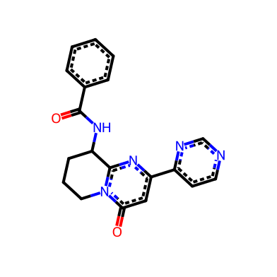 O=C(NC1CCCn2c1nc(-c1ccncn1)cc2=O)c1ccccc1